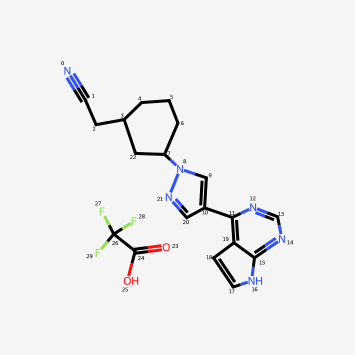 N#CCC1CCCC(n2cc(-c3ncnc4[nH]ccc34)cn2)C1.O=C(O)C(F)(F)F